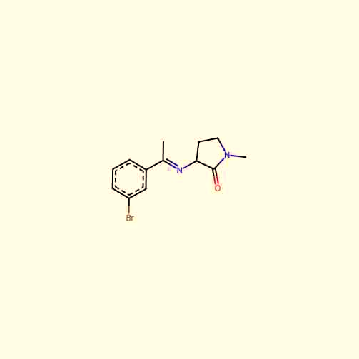 C/C(=N\C1CCN(C)C1=O)c1cccc(Br)c1